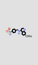 COc1ccc2c(NCc3ccc(N[SH](=O)=O)cc3)ccnc2c1